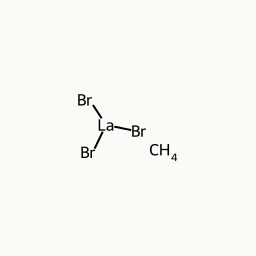 C.[Br][La]([Br])[Br]